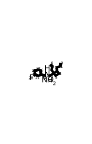 C=CCC1CCC1(CC=C)C(=O)NC(N)c1cccc(F)c1